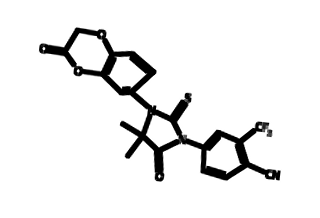 CC1(C)C(=O)N(c2ccc(C#N)c(C(F)(F)F)c2)C(=S)N1c1ccc2c(c1)OC(=O)CO2